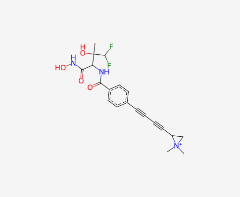 CC(O)(C(F)F)C(NC(=O)c1ccc(C#CC#CC2C[N+]2(C)C)cc1)C(=O)NO